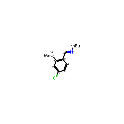 CCCCN=Cc1ccc(Cl)cc1OC